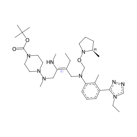 CC/C(CN(CON1CCC[C@H]1C)c1cccc(-c2nncn2CC)c1C)=C(/CN(C)N1CCN(C(=O)OC(C)(C)C)CC1)NC